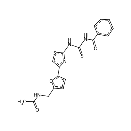 CC(=O)NCc1ccc(-c2csc(NC(=S)NC(=O)c3ccccc3)n2)o1